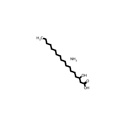 CCCCCCCCCCCCCCCC(O)CC(=O)O.N